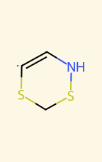 [C]1=CNSCS1